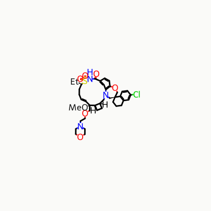 CC[C@@H]1CC/C=C/[C@](COCCN2CCOCC2)(OC)[C@@H]2CC[C@H]2CN2C[C@@]3(CCCc4cc(Cl)ccc43)COc3ccc(cc32)C(=O)NS1(=O)=O